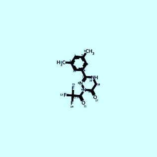 Cc1cc(C)cc(C2=NN(C(=O)C(F)(F)F)C(=O)CN2)c1